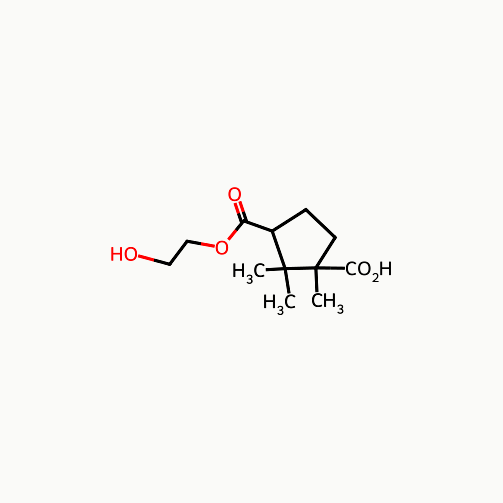 CC1(C(=O)O)CCC(C(=O)OCCO)C1(C)C